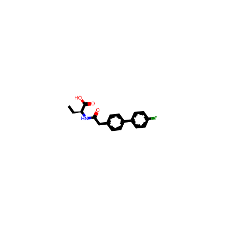 CC[C@H](NC(=O)Cc1ccc(-c2ccc(F)cc2)cc1)C(=O)O